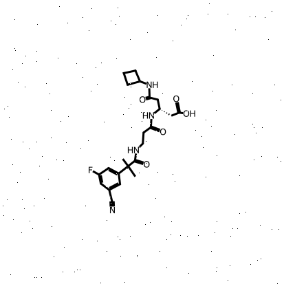 CC(C)(C(=O)NCCC(=O)N[C@@H](CC(=O)O)CC(=O)NC1CCC1)c1cc(F)cc(C#N)c1